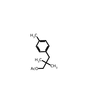 CC(=O)OCC(C)(C)Cc1ccc(C)cc1